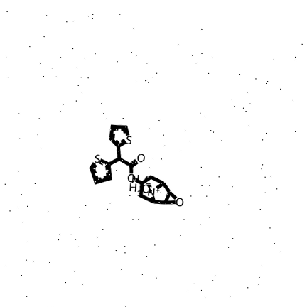 C[N+]1(C)C2CC(OC(=O)C(c3cccs3)c3cccs3)CC1C1OC12